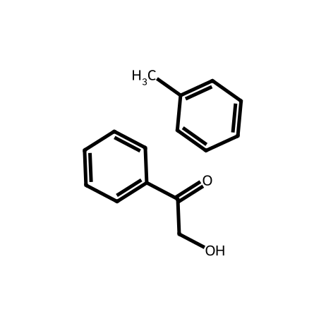 Cc1ccccc1.O=C(CO)c1ccccc1